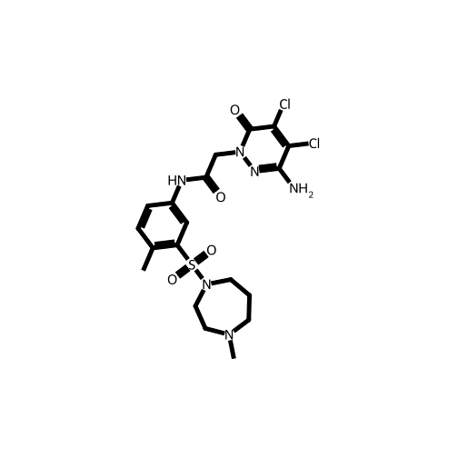 Cc1ccc(NC(=O)Cn2nc(N)c(Cl)c(Cl)c2=O)cc1S(=O)(=O)N1CCCN(C)CC1